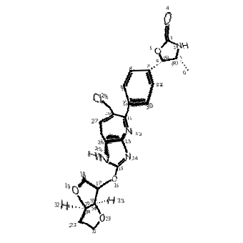 C[C@H]1NC(=O)O[C@H]1c1ccc(-c2nc3nc(OC4CO[C@@H]5CCO[C@H]45)[nH]c3cc2Cl)cc1